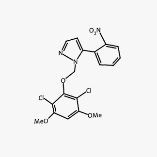 COc1cc(OC)c(Cl)c(OCn2nccc2-c2ccccc2[N+](=O)[O-])c1Cl